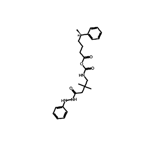 C[C@H](CCCC(=O)OC(=O)NCC(C)(C)CC(=O)NNc1ccccc1)c1ccccc1